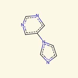 c1cn(-c2cncnc2)cn1